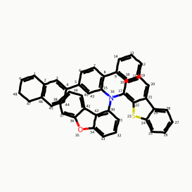 C1=Cc2cc(-c3ccc(-c4ccccc4)c(N(c4cccc5c4sc4ccccc45)c4cccc5oc6ccccc6c45)c3)ccc2CC1